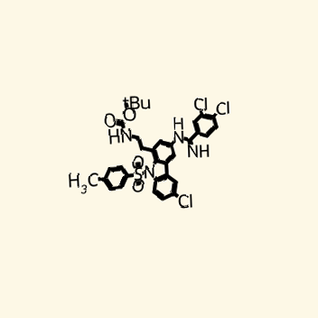 Cc1ccc(S(=O)(=O)n2c3ccc(Cl)cc3c3cc(NC(=N)c4ccc(Cl)c(Cl)c4)cc(CCNC(=O)OC(C)(C)C)c32)cc1